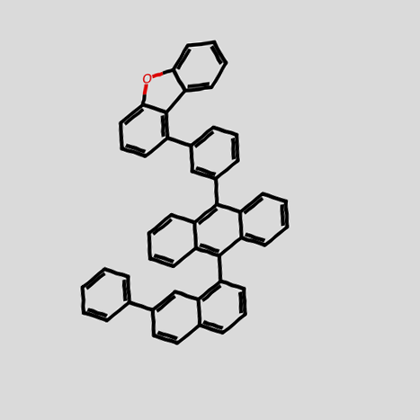 c1ccc(-c2ccc3cccc(-c4c5ccccc5c(-c5cccc(-c6cccc7oc8ccccc8c67)c5)c5ccccc45)c3c2)cc1